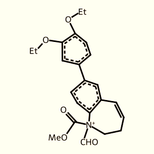 CCOc1ccc(-c2ccc3c(c2)C=CCC[N+]3(C=O)C(=O)OC)cc1OCC